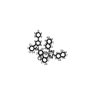 c1ccc(-c2ccc3c(c2)c2ccccc2n3-c2ccc3c(c2)oc2cccc(C4=NC(c5ccc6ccccc6c5)=NC(c5ccc6ccccc6c5)N4)c23)cc1